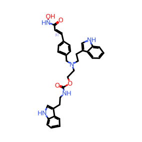 O=C(/C=C/c1ccc(CN(CCOC(=O)NCCc2c[nH]c3ccccc23)CCc2c[nH]c3ccccc23)cc1)NO